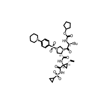 C=C[C@@H]1C[C@]1(NC(=O)[C@@H]1CN(S(=O)(=O)c2ccc(N3CCCCC3)cc2)CN1C(=O)[C@@H](NC(=O)OC1CCCC1)C(C)(C)C)C(=O)NS(=O)(=O)C1CC1